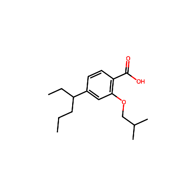 CCCC(CC)c1ccc(C(=O)O)c(OCC(C)C)c1